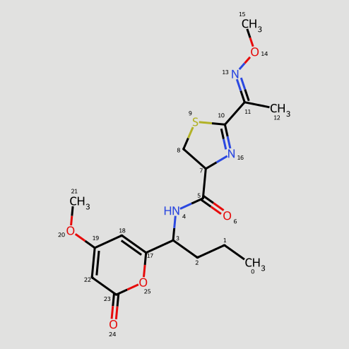 CCCC(NC(=O)C1CSC(/C(C)=N/OC)=N1)c1cc(OC)cc(=O)o1